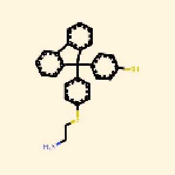 NCCSc1ccc(C2(c3ccc(S)cc3)c3ccccc3-c3ccccc32)cc1